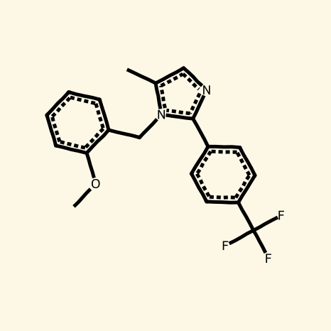 COc1ccccc1Cn1c(C)cnc1-c1ccc(C(F)(F)F)cc1